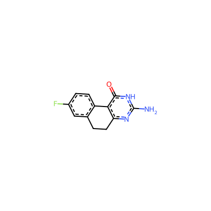 Nc1nc2c(c(=O)[nH]1)-c1ccc(F)cc1CC2